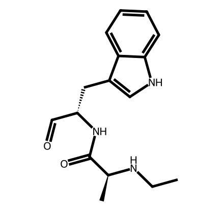 CCN[C@@H](C)C(=O)N[C@H](C=O)Cc1c[nH]c2ccccc12